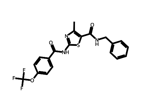 Cc1nc(NC(=O)c2ccc(OC(F)(F)F)cc2)sc1C(=O)NCc1ccccc1